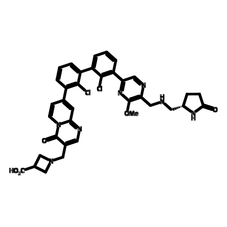 COc1nc(-c2cccc(-c3cccc(-c4ccn5c(=O)c(CN6CC(C(=O)O)C6)cnc5c4)c3Cl)c2Cl)cnc1CNC[C@@H]1CCC(=O)N1